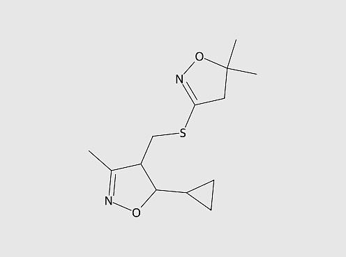 CC1=NOC(C2CC2)C1CSC1=NOC(C)(C)C1